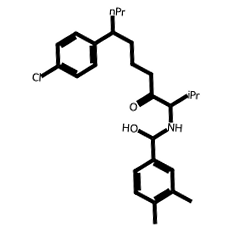 CCCC(CCCC(=O)C(NC(O)c1ccc(C)c(C)c1)C(C)C)c1ccc(Cl)cc1